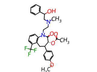 COc1ccc(C2Cc3c(cccc3C(F)(F)F)N(CCN(C)CC(O)c3ccccc3)C(=O)[C@@H]2OC(C)=O)cc1